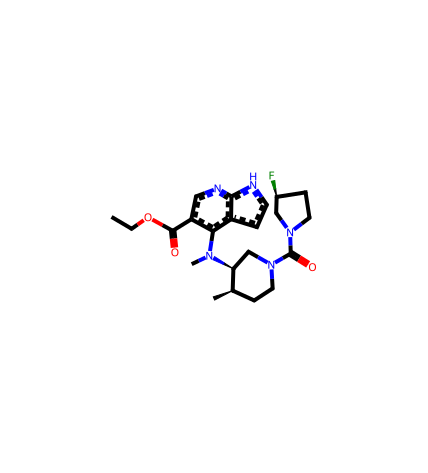 CCOC(=O)c1cnc2[nH]ccc2c1N(C)[C@H]1CN(C(=O)N2CC[C@H](F)C2)CC[C@H]1C